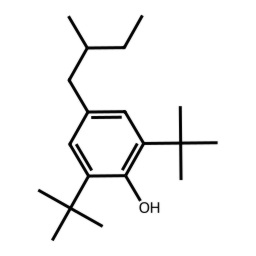 CCC(C)Cc1cc(C(C)(C)C)c(O)c(C(C)(C)C)c1